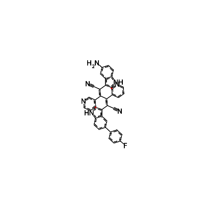 N#C/C(=C(/C(=C(/C#N)c1c[nH]c2ccc(-c3ccc(F)cc3)cc12)c1cccnc1)c1cccnc1)c1c[nH]c2ccc(N)cc12